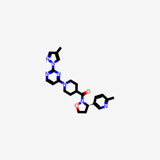 Cc1cnn(-c2nccc(N3CCC(C(=O)N4OCC[C@H]4c4ccc(C)nc4)CC3)n2)c1